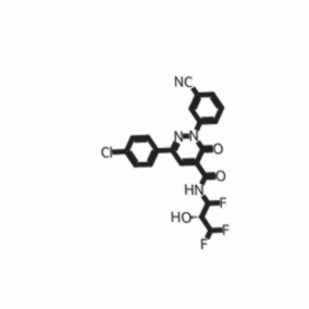 N#Cc1cccc(-n2nc(-c3ccc(Cl)cc3)cc(C(=O)NC(F)[C@@H](O)C(F)F)c2=O)c1